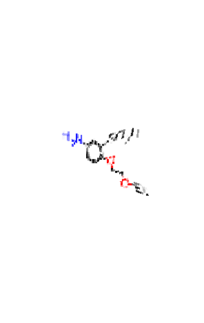 CCOCCOc1ccc(N)cc1S(=O)(=O)O